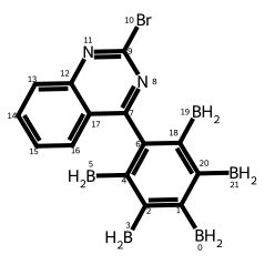 Bc1c(B)c(B)c(-c2nc(Br)nc3ccccc23)c(B)c1B